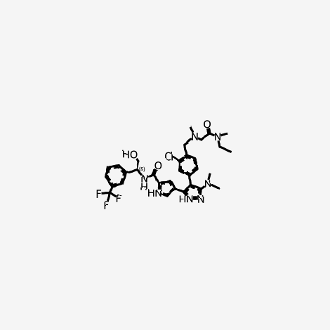 CCN(C)C(=O)CN(C)Cc1ccc(-c2c(N(C)C)n[nH]c2-c2c[nH]c(C(=O)N[C@H](CO)c3cccc(C(F)(F)F)c3)c2)cc1Cl